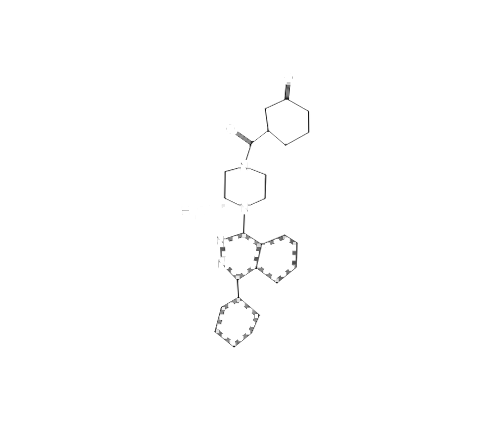 C[C@@H]1CN(C(=O)C2CCCC(=O)C2)CCN1c1nnc(-c2ccccc2)c2ccccc12